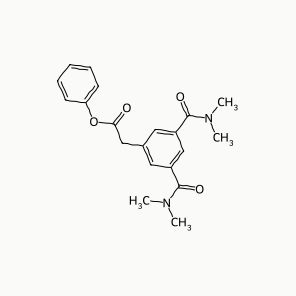 CN(C)C(=O)c1cc(CC(=O)Oc2ccccc2)cc(C(=O)N(C)C)c1